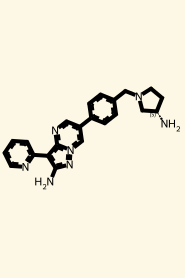 Nc1nn2cc(-c3ccc(CN4CC[C@H](N)C4)cc3)cnc2c1-c1ccccn1